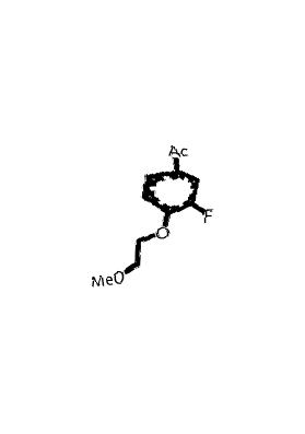 COCCOc1ccc(C(C)=O)cc1F